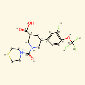 O=C(O)C1CC(c2ccc(OC(F)(F)F)c(F)c2)CN(C(=O)N2CCSCC2)C1